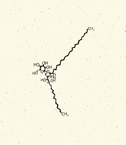 CCCCCCCCC/C=C/CCC[C@@H](O)[C@@H](O)[C@H](CO[C@@H]1O[C@H](CO)[C@@H](O)C(O)C1O)NC(=O)[C@H](O)CCCCCCCCCCCCCCCCCCCCCC